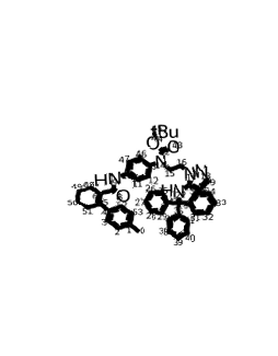 Cc1ccc(C2=C(C(=O)Nc3ccc(N(CCn4nccc4NC(c4ccccc4)(c4ccccc4)c4ccccc4)C(=O)OC(C)(C)C)cc3)CCCC2)cc1